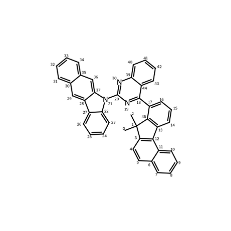 CC1(C)c2ccc3ccccc3c2-c2cccc(-c3nc(-n4c5ccccc5c5cc6ccccc6cc54)nc4ccccc34)c21